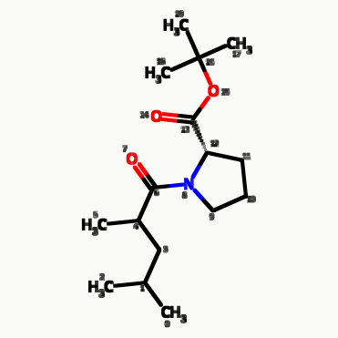 CC(C)CC(C)C(=O)N1CCC[C@H]1C(=O)OC(C)(C)C